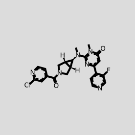 CN(c1nc(-c2ccncc2F)cc(=O)n1C)[C@H]1[C@@H]2CN(C(=O)c3ccnc(Cl)c3)C[C@@H]21